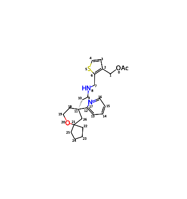 CC(=O)OCc1ccsc1CNCC[C@@]1(c2ccccn2)CCOC2(CCCC2)C1